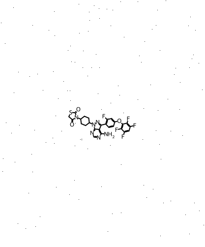 Nc1ncnc2c1c(-c1ccc(Oc3c(F)c(F)cc(F)c3F)cc1F)nn2C1CCC(N2C(=O)CSC2=O)CC1